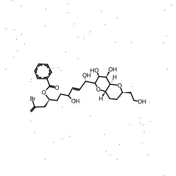 C=C(Br)C[C@H](CCC(O)/C=C/[C@H](O)C1O[C@H]2CC[C@H](CCO)O[C@@H]2[C@H](O)[C@@H]1O)OC(=O)c1ccccc1